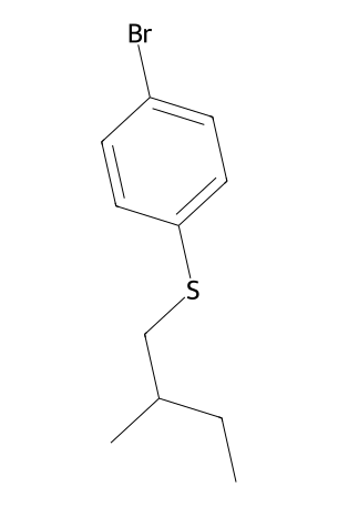 CCC(C)CSc1ccc(Br)cc1